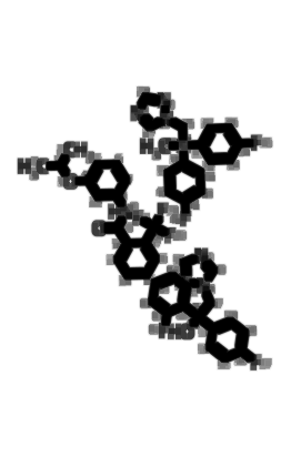 CC(C)Oc1cccc(NC(=O)c2ccccc2C(F)(F)F)c1.C[Si](Cn1cncn1)(c1ccc(F)cc1)c1ccc(F)cc1.OC(Cn1cncn1)(c1ccc(F)cc1)c1ccccc1F